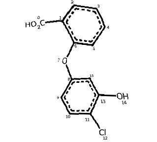 O=C(O)c1ccccc1Oc1ccc(Cl)c(O)c1